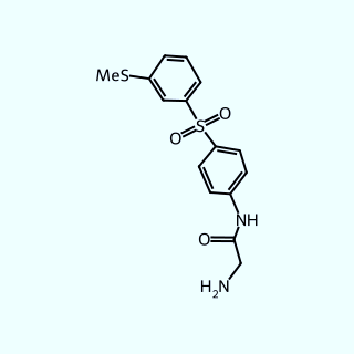 CSc1cccc(S(=O)(=O)c2ccc(NC(=O)CN)cc2)c1